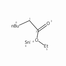 CCCCCC(=O)OCC.[Sn]